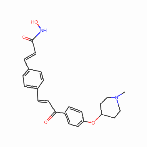 CN1CCC(Oc2ccc(C(=O)C=Cc3ccc(C=CC(=O)NO)cc3)cc2)CC1